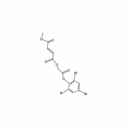 COC(=O)C=CC(=O)OCC(=O)Oc1c(Br)cc(Br)cc1Br